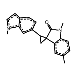 Cc1ccc2c(c1)C1(CC1c1ccc3ccn(C)c3c1)C(=O)N2C